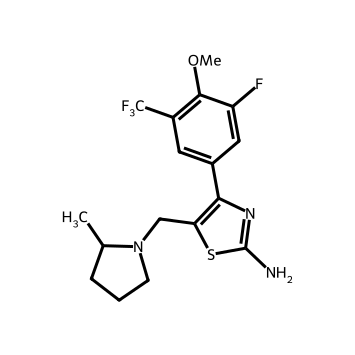 COc1c(F)cc(-c2nc(N)sc2CN2CCCC2C)cc1C(F)(F)F